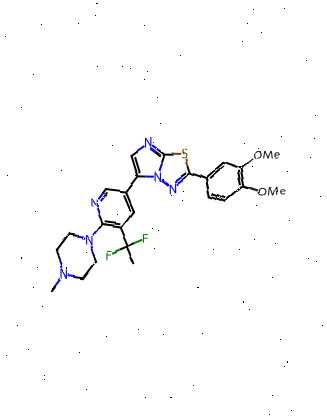 COc1ccc(-c2nn3c(-c4cnc(N5CCN(C)CC5)c(C(C)(F)F)c4)cnc3s2)cc1OC